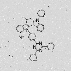 CC1Cc2c(c3ccccc3n2-c2ccccc2)-c2c1c1ccccc1n2-c1ccc(-c2nc(-c3ccccc3)nc(-c3ccccc3)n2)cc1C#N